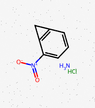 Cl.N.O=[N+]([O-])c1cccc2c1C2